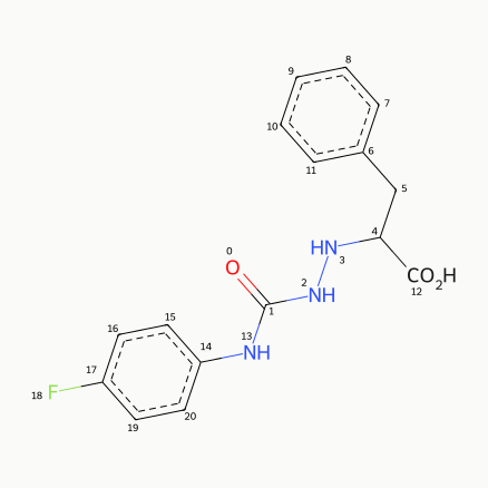 O=C(NNC(Cc1ccccc1)C(=O)O)Nc1ccc(F)cc1